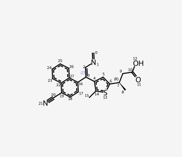 C=N/C=C(\c1cc([C@H](C)CC(=O)O)sc1C)c1ccc(C#N)c2ccccc12